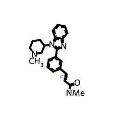 CNC(=O)/C=C/c1cccc(-c2nc3ccccc3n2C2CCCN(C)C2)c1